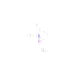 CCCN1CCC(COC(=O)Nc2cc(C)n(Cc3cc(Br)ccc3OCc3ccccc3)n2)CC1